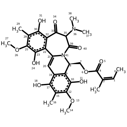 C/C=C(/C)C(=O)OC[C@H]1c2c(O)c(OC)c(C)c(O)c2C=C2c3c(O)c(OC)c(C)c(O)c3C(=O)C(N(C)C)C(=O)N21